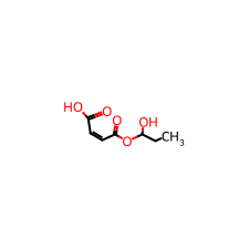 CCC(O)OC(=O)/C=C\C(=O)O